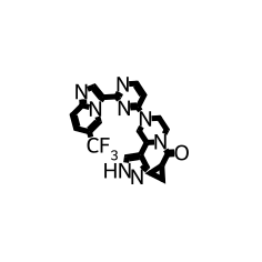 O=C(C1CC1)N1CCN(c2ccnc(-c3cnc4ccc(C(F)(F)F)cn34)n2)CC1c1cn[nH]c1